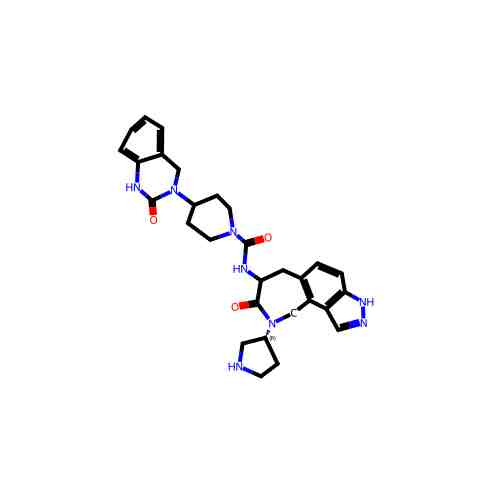 O=C(NC1Cc2ccc3[nH]ncc3c2CN([C@@H]2CCNC2)C1=O)N1CCC(N2Cc3ccccc3NC2=O)CC1